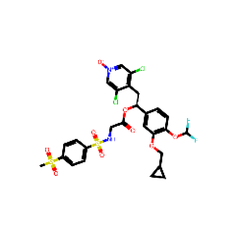 CS(=O)(=O)c1ccc(S(=O)(=O)NCC(=O)O[C@@H](Cc2c(Cl)c[n+]([O-])cc2Cl)c2ccc(OC(F)F)c(OCC3CC3)c2)cc1